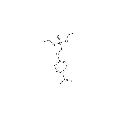 CCOP(=O)(COc1ccc(C(C)=O)cc1)OCC